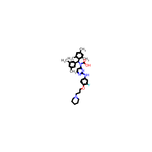 Cc1cc(C)cc(C(c2c(C)cc(C)cc2C)N(C(=O)O)c2ccnc(Nc3ccc(OCCCN4CCCCC4)c(F)c3)n2)c1